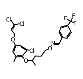 Cc1cc(OCC=C(Cl)Cl)cc(Cl)c1OC(C)CCCON=Cc1ccc(C(F)(F)F)cc1